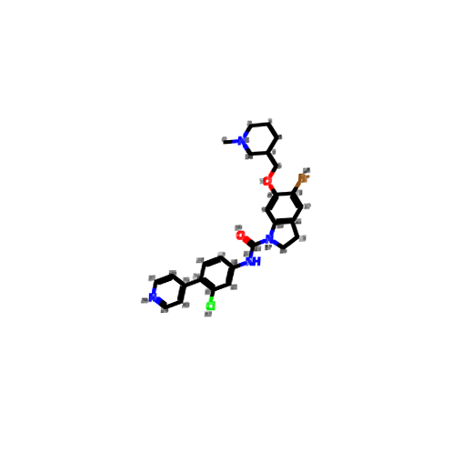 CN1CCCC(COc2cc3c(cc2Br)CCN3C(=O)Nc2ccc(-c3ccncc3)c(Cl)c2)C1